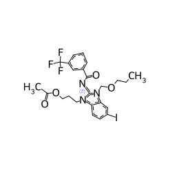 CCCOCn1/c(=N\C(=O)c2cccc(C(F)(F)F)c2)n(CCCOC(C)=O)c2ccc(I)cc21